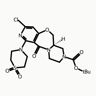 CC(C)(C)OC(=O)N1CCN2C(=O)c3c(cc(Cl)nc3N3CCS(=O)(=O)CC3)OC[C@H]2C1